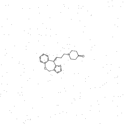 O=C1CCN(CC/C=C2/c3c[c]ccc3OCc3ccsc32)CC1